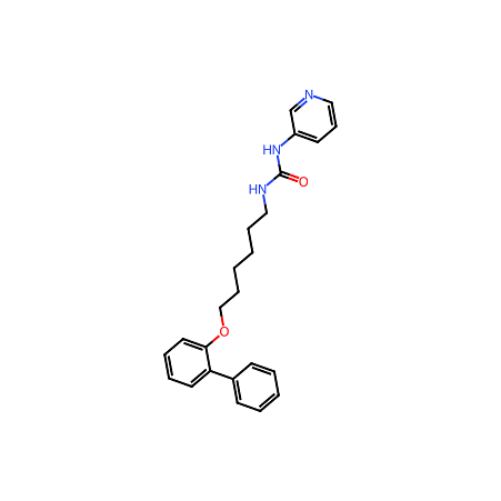 O=C(NCCCCCCOc1ccccc1-c1ccccc1)Nc1cccnc1